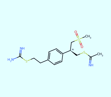 CC(=N)SC[C@H](CS(C)(=O)=O)c1ccc(CCSC(=N)N)cc1